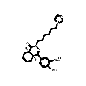 COc1ccc(C2=NN(CCCCCCn3ccnc3)C(=O)[C@@H]3CC=CC[C@H]23)cc1OC.Cl